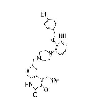 CCc1ccc(-c2nc3c(N4CCN(Cc5ccc6[nH]c(=O)c(=O)n(CC(C)C)c6c5)CC4)cccc3[nH]2)cc1